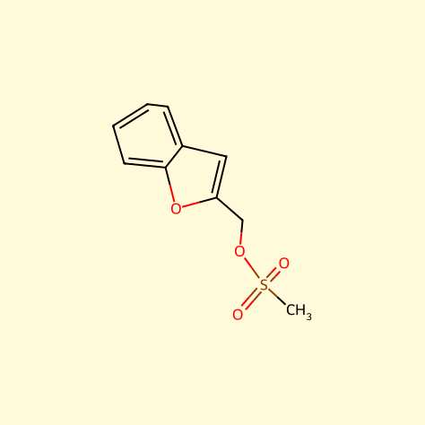 CS(=O)(=O)OCc1cc2ccccc2o1